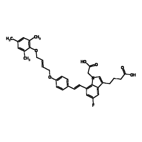 Cc1cc(C)c(OCC=CCOc2ccc(C=Cc3cc(F)cc4c(CCCC(=O)O)cn(CC(=O)O)c34)cc2)c(C)c1